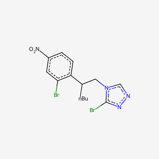 CCCCC(Cn1cnnc1Br)c1ccc([N+](=O)[O-])cc1Br